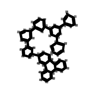 c1cncc(-c2cc(-c3cccnc3)cc(-c3cccc(-c4cccc(-c5cccc(-c6ccc7c8ccccc8c8ccccc8c7c6)c5)c4)c3)c2)c1